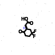 O=C(O)/C=C1\CC(F)(F)CCC1=O